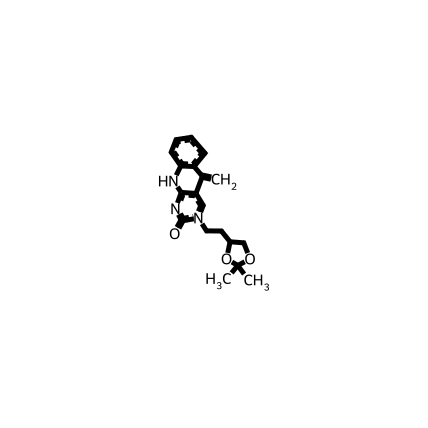 C=C1c2ccccc2Nc2nc(=O)n(CCC3COC(C)(C)O3)cc21